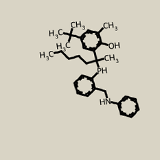 CCCCCC(C)(Pc1ccccc1CNc1ccccc1)c1cc(C(C)(C)C)cc(C)c1O